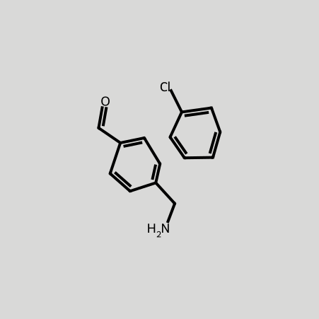 Clc1ccccc1.NCc1ccc(C=O)cc1